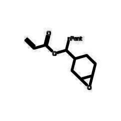 C=CC(=O)OC(CCCCC)C1CCC2OC2C1